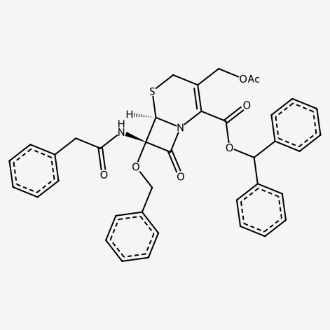 CC(=O)OCC1=C(C(=O)OC(c2ccccc2)c2ccccc2)N2C(=O)[C@](NC(=O)Cc3ccccc3)(OCc3ccccc3)[C@H]2SC1